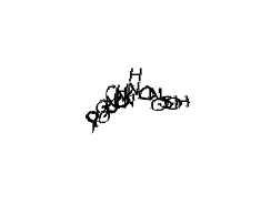 Cn1c(=O)c(Oc2ccccc2F)cc2cnc(NC3CCN(C[SH](=O)=O)CC3)nc21